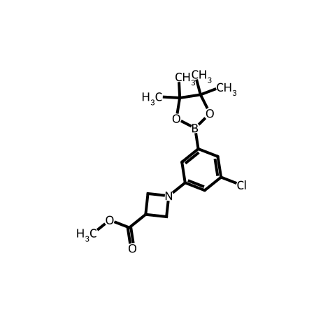 COC(=O)C1CN(c2cc(Cl)cc(B3OC(C)(C)C(C)(C)O3)c2)C1